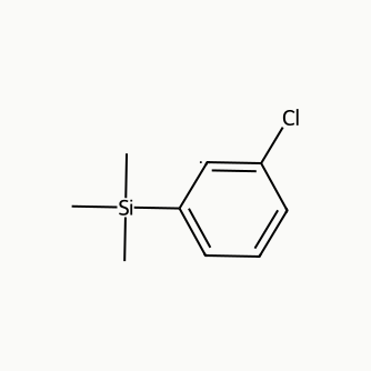 C[Si](C)(C)c1[c]c(Cl)ccc1